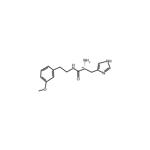 COc1cccc(CCNC(=O)[C@H](N)Cc2c[nH]cn2)c1